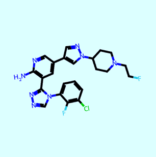 Nc1ncc(-c2cnn(C3CCN(CCF)CC3)c2)cc1-c1nncn1-c1cccc(Cl)c1F